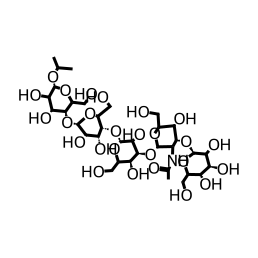 CC(=O)NC1[C@H](O[C@@H]2C(O)[C@@H](O[C@H]3C(CO)O[C@@H](O[C@@H]4C(CO)O[C@@H](OC(C)C)C(O)[C@H]4O)C(O)[C@H]3O)OC(CO)[C@@H]2O)OC(CO)[C@H](O)[C@@H]1O[C@@H]1OC(CO)[C@H](O)[C@H](O)C1O